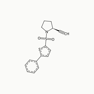 C#C[C@@H]1CCCN1S(=O)(=O)c1ccc(-c2ccccc2)s1